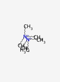 CCCCCCCC[N+](CCCCCCCC)(CCCCCCCC)CC[N+](CCCCCCCC)(CCCCCCCC)CCCCCCCC